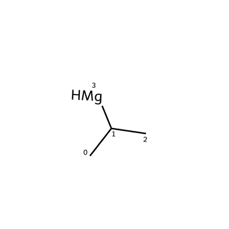 C[CH](C)[MgH]